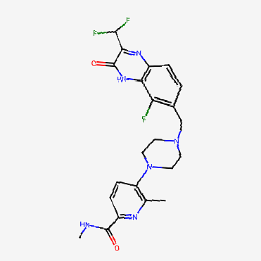 CNC(=O)c1ccc(N2CCN(Cc3ccc4nc(C(F)F)c(=O)[nH]c4c3F)CC2)c(C)n1